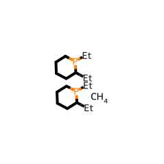 C.CCC1CCCCP1CC.CCC1CCCCP1CC